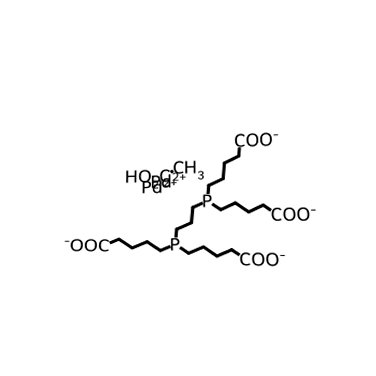 CC(=O)O.O=C([O-])CCCCP(CCCCC(=O)[O-])CCCP(CCCCC(=O)[O-])CCCCC(=O)[O-].[Pd+2].[Pd+2]